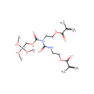 C=C(C)C(=O)OCCNC(=O)N(CCOC(=O)C(=C)C)C(=O)OC[Si](OCC)(OCC)OCC